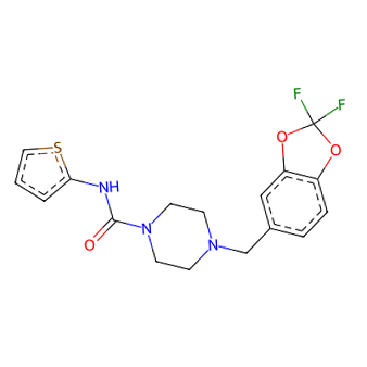 O=C(Nc1cccs1)N1CCN(Cc2ccc3c(c2)OC(F)(F)O3)CC1